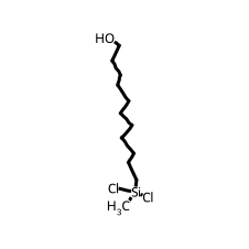 C[Si](Cl)(Cl)CCCCCCCCCCCO